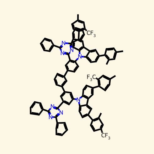 Cc1ccc(-c2ccc3c(c2)c2cc(-c4ccc(C)cc4C(F)(F)F)ccc2n3-c2ccc(-c3cccc(-c4cc(-c5nc(-c6ccccc6)nc(-c6ccccc6)n5)cc(-n5c6ccc(-c7ccc(C(F)(F)F)cc7C)cc6c6cc(-c7ccc(C)cc7C(F)(F)F)ccc65)c4)c3)cc2-c2nc(-c3ccccc3)nc(-c3ccccc3)n2)c(C)c1